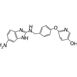 Nc1ccc2nc(NCc3ccc(Oc4ccc(O)cn4)cc3)[nH]c2c1